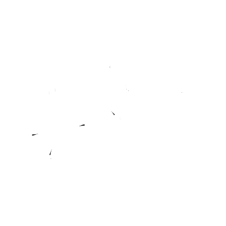 CC1(C)CC(=O)C(=CNC2C(O)OC(CO)[C@@H](O[C@@H]3OC(CO)[C@H](O)[C@H](O)C3O)[C@@H]2O)C(=O)C1